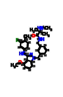 CNC(C)(C)C(=O)NCc1cccc(Cn2nc(Nc3ccc(C)c(F)c3)c3c(OC)cccc32)c1